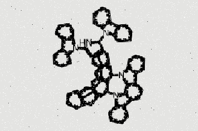 C1=C(c2cc(-c3ccccc3)cc(-n3c4ccccc4c4ccc5c6ccccc6n(-c6cc(-c7ccccc7)cc(-c7ccccc7)c6)c5c43)c2)C=C(n2c3ccccc3c3ccccc32)NC1n1c2ccccc2c2ccccc21